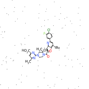 Cc1cc(C(=O)O)nc(N2CCN(C(=O)c3cc4nc(-c5ccc(Cl)c(F)c5)cc(C(C)(C)C)c4o3)C(C)(C)C2)n1